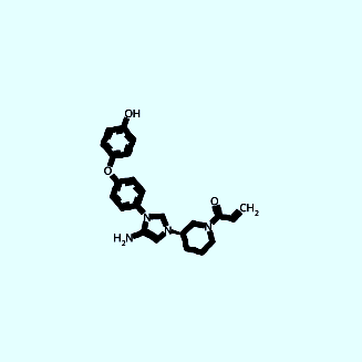 C=CC(=O)N1CCC[C@@H](N2C=C(N)N(c3ccc(Oc4ccc(O)cc4)cc3)C2)C1